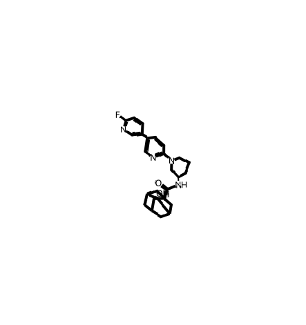 O=C(N[C@H]1CCCN(c2ccc(-c3ccc(F)nc3)cn2)C1)C12CC3CC(C1)C(O)C(C3)C2